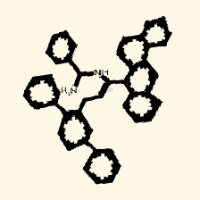 NC(N/C(=C\Cc1cc(-c2ccccc2)ccc1-c1ccccc1)c1c2ccccc2cc2c1ccc1ccccc12)c1ccccc1